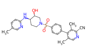 Cc1ccc(N[C@@H]2CCN(S(=O)(=O)c3ccc(-c4c(C)cnc(C#N)c4C)cc3)C[C@@H]2O)nc1